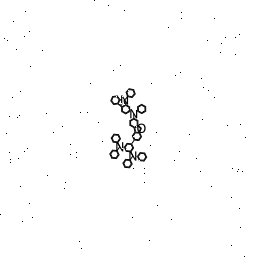 c1ccc(N(c2ccccc2)c2cc(-c3ccc4oc5cc(N(c6ccccc6)c6ccc7c8ccccc8n(-c8ccccc8)c7c6)ccc5c4c3)cc(N(c3ccccc3)c3ccccc3)c2)cc1